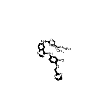 C[C@@H](OC(C)(C)C)[C@@H]1COC(Nc2ccc3ncnc(Nc4ccc(OCc5nccs5)c(Cl)c4)c3c2)=N1